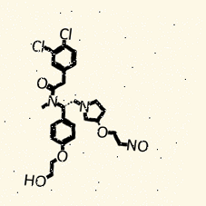 CN(C(=O)Cc1ccc(Cl)c(Cl)c1)[C@H](CN1CC[C@H](OCCN=O)C1)c1ccc(OCCO)cc1